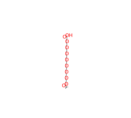 C=C(C)C(=O)OCCCOCCCOCCCOCCCOCCCOCCCOCCCOCCC(=O)O